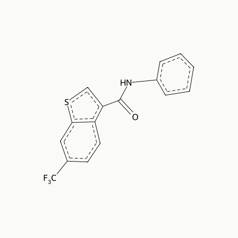 O=C(Nc1ccccc1)c1csc2cc(C(F)(F)F)ccc12